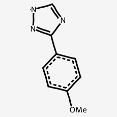 COc1ccc(C2=N[N]C=N2)cc1